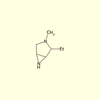 CCC1C2NC2CN1C